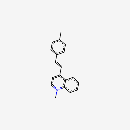 Cc1ccc(/C=C/c2cc[n+](C)c3ccccc23)cc1